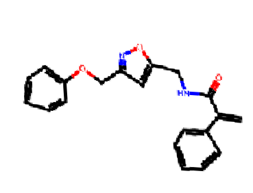 C=C(C(=O)NCc1cc(COc2ccccc2)no1)c1ccccc1